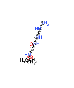 CC(C)(C)OC(=O)NCCCCCC(=O)NCCCNCCCCNCCCN